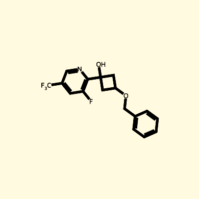 OC1(c2ncc(C(F)(F)F)cc2F)CC(OCc2ccccc2)C1